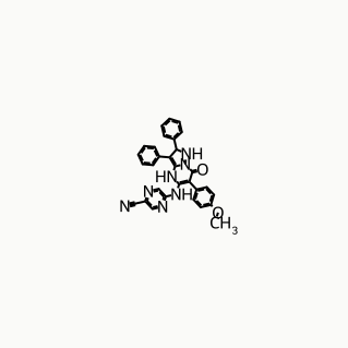 COc1ccc(C2=C(Nc3cnc(C#N)cn3)NC3=C(c4ccccc4)C(c4ccccc4)NN3C2=O)cc1